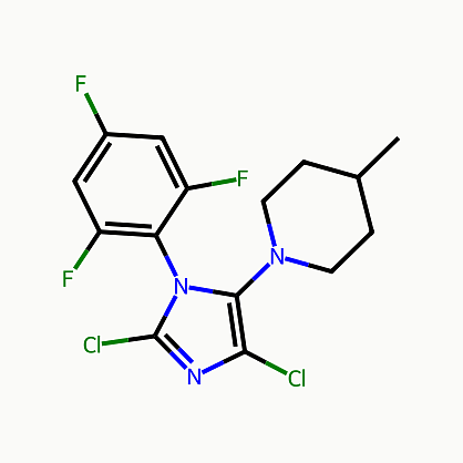 CC1CCN(c2c(Cl)nc(Cl)n2-c2c(F)cc(F)cc2F)CC1